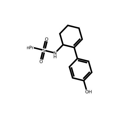 CCCS(=O)(=O)NC1CCCC=C1c1ccc(O)cc1